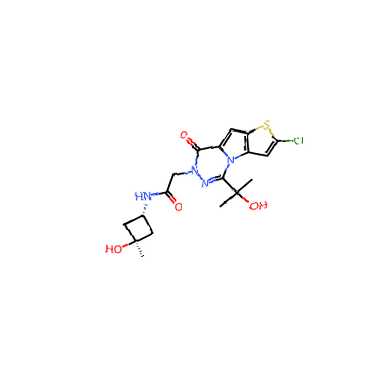 CC(C)(O)c1nn(CC(=O)N[C@H]2C[C@](C)(O)C2)c(=O)c2cc3sc(Cl)cc3n12